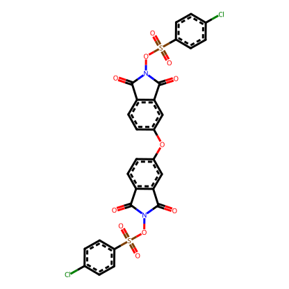 O=C1c2ccc(Oc3ccc4c(c3)C(=O)N(OS(=O)(=O)c3ccc(Cl)cc3)C4=O)cc2C(=O)N1OS(=O)(=O)c1ccc(Cl)cc1